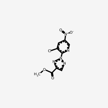 COC(=O)c1cnn(-c2ncc([N+](=O)[O-])cc2Cl)n1